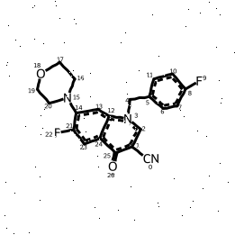 N#Cc1cn(Cc2ccc(F)cc2)c2cc(N3CCOCC3)c(F)cc2c1=O